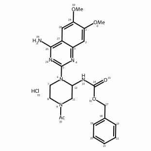 COc1cc2nc(N3CCN(C(C)=O)CC3NC(=O)OCc3ccccc3)nc(N)c2cc1OC.Cl